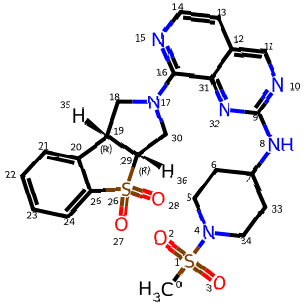 CS(=O)(=O)N1CCC(Nc2ncc3ccnc(N4C[C@H]5c6ccccc6S(=O)(=O)[C@H]5C4)c3n2)CC1